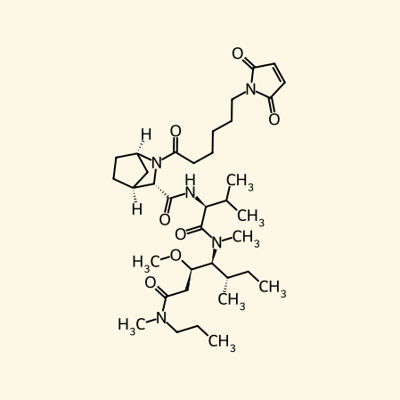 CCCN(C)C(=O)C[C@@H](OC)[C@H]([C@@H](C)CC)N(C)C(=O)[C@@H](NC(=O)[C@@H]1[C@H]2CC[C@H](C2)N1C(=O)CCCCCN1C(=O)C=CC1=O)C(C)C